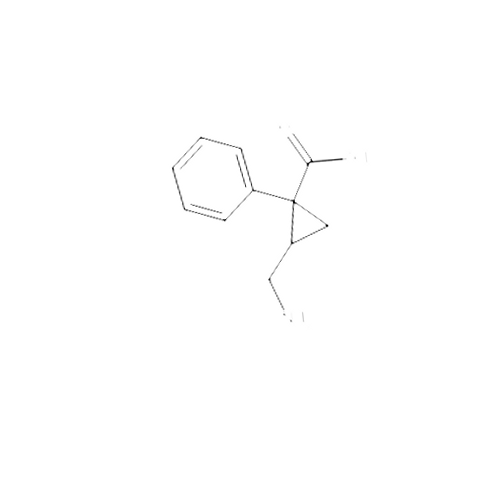 NCC1CC1(C(=O)O)c1ccccc1